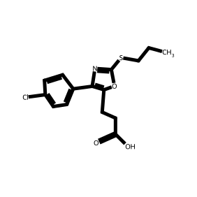 CCCSc1nc(-c2ccc(Cl)cc2)c(CCC(=O)O)o1